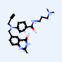 C#CCN(Cc1ccc2nc(C)[nH]c(=O)c2c1)c1ccc(C(=O)NCCCN(C)C)cc1